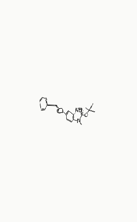 CN(C(=O)OC(C)(C)C)c1ccc(OCc2ccccc2)cc1N